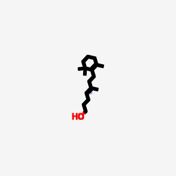 CC1=C(CC/C(C)=C/CCCO)C(C)(C)CCC1